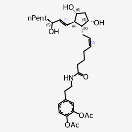 CCCCC[C@H](O)/C=C/[C@@H]1[C@@H](C/C=C\CCCC(=O)NCCc2ccc(OC(C)=O)c(OC(C)=O)c2)[C@@H](O)C[C@H]1O